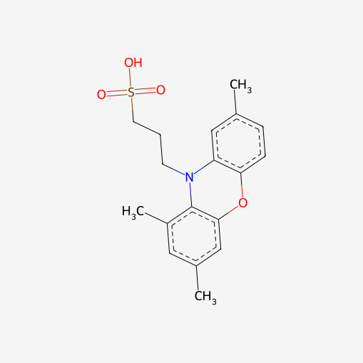 Cc1cc(C)c2c(c1)Oc1ccc(C)cc1N2CCCS(=O)(=O)O